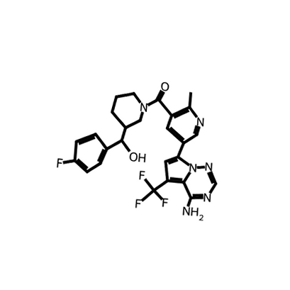 Cc1ncc(-c2cc(C(F)(F)F)c3c(N)ncnn23)cc1C(=O)N1CCCC(C(O)c2ccc(F)cc2)C1